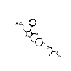 COCCc1nn(C[C@H]2CC[C@@H](COCC(=O)OC(C)(C)C)CC2)c(Br)c1-c1ccccc1